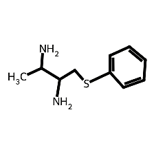 CC(N)C(N)CSc1ccccc1